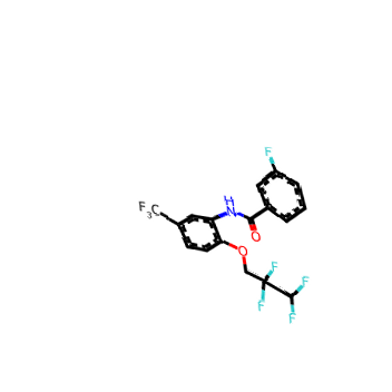 O=C(Nc1cc(C(F)(F)F)ccc1OCC(F)(F)C(F)F)c1cccc(F)c1